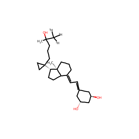 [2H]C([2H])([2H])C(C)(O)CCCC1([C@H]2CCC3/C(=C/C=C4C[C@@H](O)C[C@H](O)C4)CCC[C@@]32C)CC1